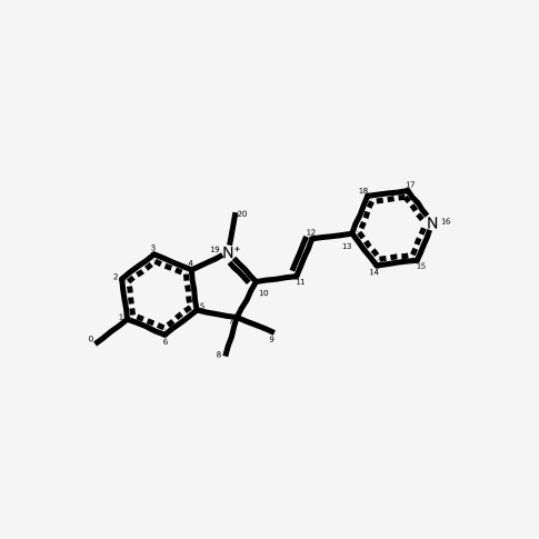 Cc1ccc2c(c1)C(C)(C)C(C=Cc1ccncc1)=[N+]2C